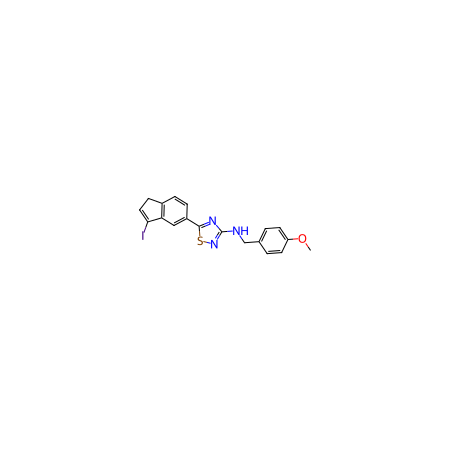 COc1ccc(CNc2nsc(-c3ccc4c(c3)C(I)=CC4)n2)cc1